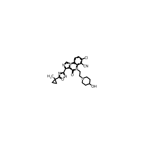 CC1(c2nc(-c3ncn4c3c(=O)n(CCN3CCC(O)CC3)c3c(C#N)c(Cl)ccc34)no2)CC1